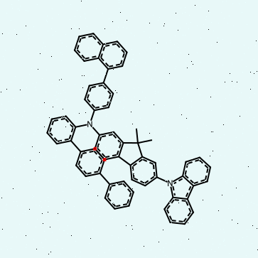 CC1(C)c2cc(N(c3ccc(-c4cccc5ccccc45)cc3)c3ccccc3-c3ccc(-c4ccccc4)cc3)ccc2-c2ccc(-n3c4ccccc4c4ccccc43)cc21